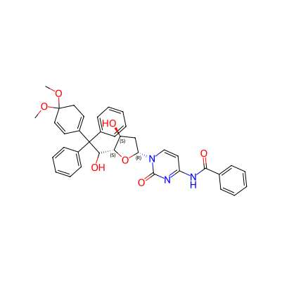 COC1(OC)C=CC(C(c2ccccc2)(c2ccccc2)C(O)[C@H]2O[C@@H](n3ccc(NC(=O)c4ccccc4)nc3=O)C[C@@H]2O)=CC1